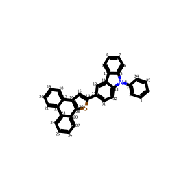 c1ccc(-n2c3ccccc3c3cc(-c4cc5c6ccccc6c6ccccc6c5s4)ccc32)cc1